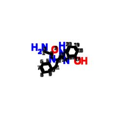 NCC(=O)N1c2ccccc2CC1c1nc2c(O)cccc2[nH]1